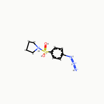 [N-]=[N+]=Nc1ccc(S(=O)(=O)N2CCCC2)cc1